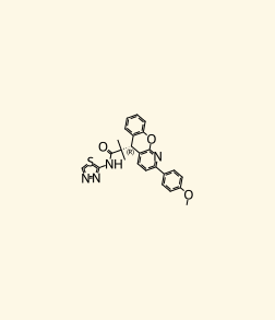 COc1ccc(-c2ccc3c(n2)Oc2ccccc2[C@H]3C(C)(C)C(=O)Nc2nncs2)cc1